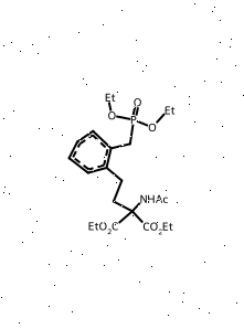 CCOC(=O)C(CCc1ccccc1CP(=O)(OCC)OCC)(NC(C)=O)C(=O)OCC